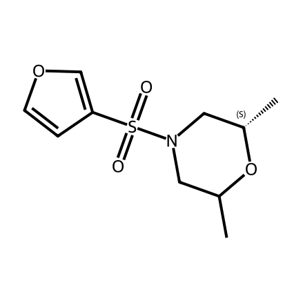 CC1CN(S(=O)(=O)c2ccoc2)C[C@H](C)O1